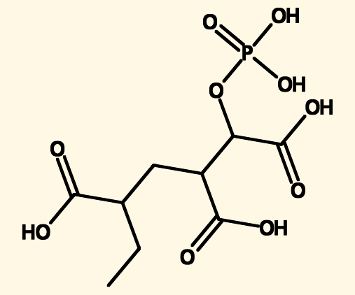 CCC(CC(C(=O)O)C(OP(=O)(O)O)C(=O)O)C(=O)O